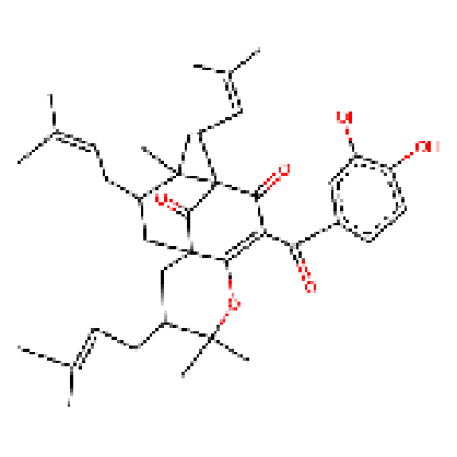 CC(C)=CCC1CC23CC(CC=C(C)C)C(C)(C)C(CC=C(C)C)(C(=O)C(C(=O)c4ccc(O)c(O)c4)=C2OC1(C)C)C3=O